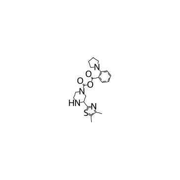 Cc1nc(C2CN(C(=O)OC(=O)c3ccccc3N3CCCC3)CCN2)sc1C